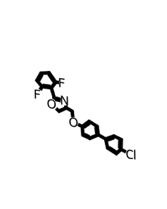 Fc1cccc(F)c1C1=NC(COc2ccc(-c3ccc(Cl)cc3)cc2)CO1